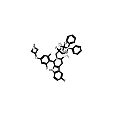 CC1Cc2c([nH]c3ccc(F)cc23)C(c2c(F)cc(OC3CNC3)cc2F)N1CC(C)(F)CO[Si](c1ccccc1)(c1ccccc1)C(C)(C)C